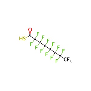 O=C(S)C(F)(F)C(F)(F)C(F)(F)C(F)(F)C(F)(F)C(F)(F)C(F)(F)F